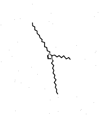 CCCCCCCCCCCCCCCN1C=CN(CCCCCCCCCCCCCCC)C1CCCCCCCC